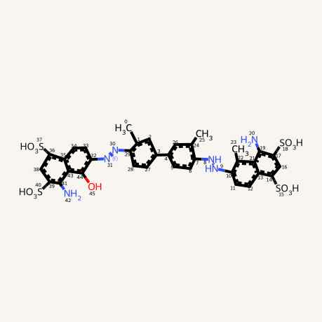 Cc1cc(-c2ccc(NNc3ccc4c(S(=O)(=O)O)cc(S(=O)(=O)O)c(N)c4c3C)c(C)c2)ccc1/N=N/c1ccc2c(S(=O)(=O)O)cc(S(=O)(=O)O)c(N)c2c1O